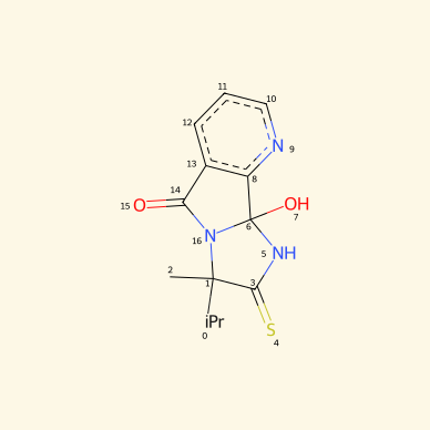 CC(C)C1(C)C(=S)NC2(O)c3ncccc3C(=O)N21